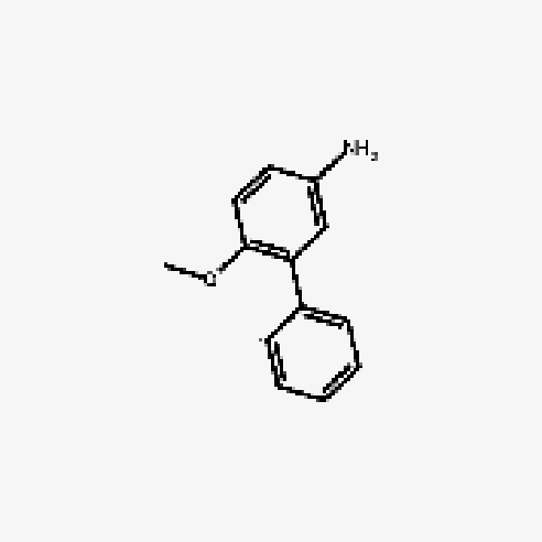 COc1ccc(N)cc1-c1[c]cccc1